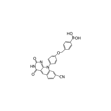 N#Cc1ccc2cc3c(=O)[nH]c(=O)nc-3n(-c3ccc(OCc4ccc(B(O)O)cc4)cc3)c2c1